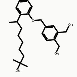 CC(CCCCCC(C)(C)O)c1ccccc1OCc1ccc(CO)c(CO)c1